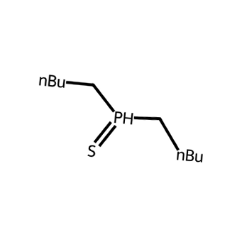 CCCCC[PH](=S)CCCCC